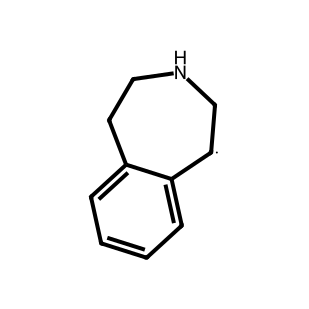 [CH]1CNCCc2ccccc21